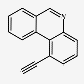 [C]#Cc1[c]ccc2ncc3ccccc3c12